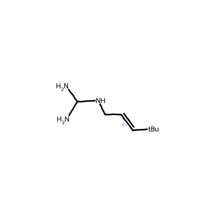 CC(C)(C)/C=C/CNC(N)N